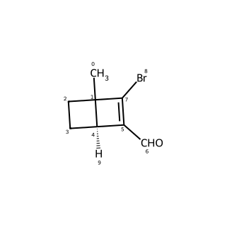 CC12CC[C@@H]1C(C=O)=C2Br